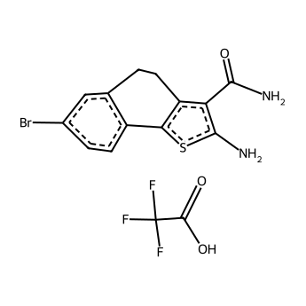 NC(=O)c1c(N)sc2c1CCc1cc(Br)ccc1-2.O=C(O)C(F)(F)F